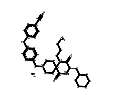 CCCCN1C(=O)[C@H](CC2CCCCC2)NC(=O)C12CCN(Cc1ccc(Oc3ccc(C#N)cc3)cc1)CC2.Cl